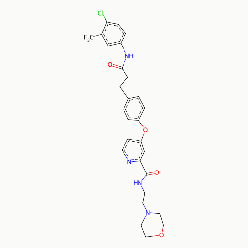 O=C(CCc1ccc(Oc2ccnc(C(=O)NCCN3CCOCC3)c2)cc1)Nc1ccc(Cl)c(C(F)(F)F)c1